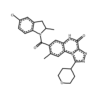 Cc1cc2c(cc1C(=O)N1c3ccc(Cl)cc3CC1C)[nH]c(=O)c1nnc(C3CCOCC3)n12